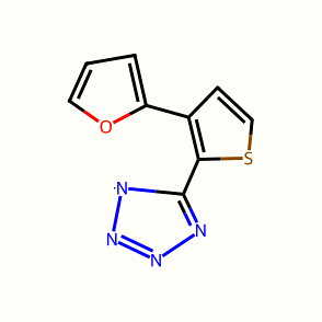 c1coc(-c2ccsc2C2=NN=N[N]2)c1